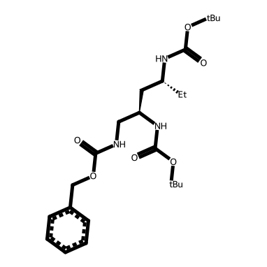 CC[C@H](C[C@H](CNC(=O)OCc1ccccc1)NC(=O)OC(C)(C)C)NC(=O)OC(C)(C)C